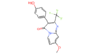 COc1ccn2c(=O)c(-c3ccc(O)cc3)c(C(F)(F)F)nc2c1